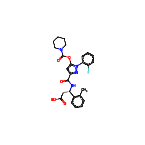 Cc1ccccc1[C@H](CC(=O)O)NC(=O)c1cc(OC(=O)N2CCCCC2)n(-c2ccccc2F)n1